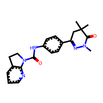 CN1N=C(c2ccc(NC(=O)N3CCc4cccnc43)cc2)CC(C)(C)C1=O